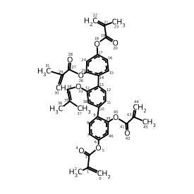 C=C(C)C(=O)Oc1ccc(-c2ccc(-c3ccc(OC(=O)C(=C)C)cc3OC(=O)C(=C)C)c(OC=C(C)C)c2)c(OC(=O)C(=C)C)c1